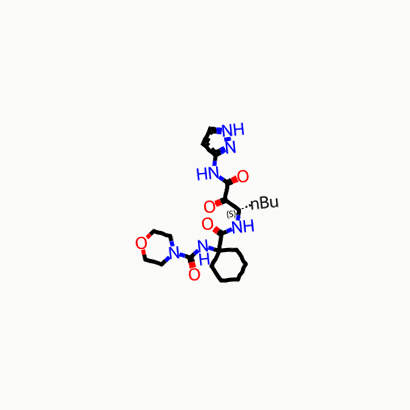 CCCC[C@H](NC(=O)C1(NC(=O)N2CCOCC2)CCCCC1)C(=O)C(=O)Nc1cc[nH]n1